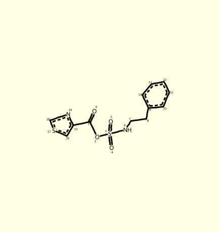 O=C(OS(=O)(=O)NCCc1ccccc1)c1cscn1